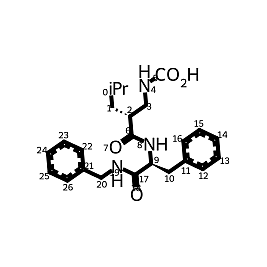 CC(C)C[C@H](CNC(=O)O)C(=O)N[C@@H](Cc1ccccc1)C(=O)NCc1ccccc1